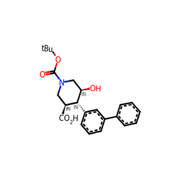 CC(C)(C)OC(=O)N1C[C@@H](O)[C@H](c2cccc(-c3ccccc3)c2)[C@@H](C(=O)O)C1